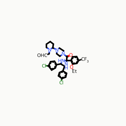 CCOc1cc(C(F)(F)F)ccc1C1(C(=O)N2CCN(C3CCCCN3CC=O)CC2)NC(c2ccc(Cl)cc2)C(c2ccc(Cl)cc2)N1